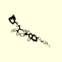 CCOc1ccc2oc(C(=O)NC(COCc3ccccc3)C(=O)O)cc2c1